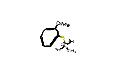 [2H][13C]([2H])(C)Sc1ccccc1OC